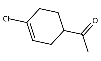 CC(=O)C1CC=C(Cl)CC1